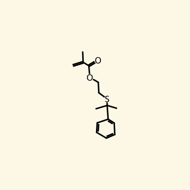 C=C(C)C(=O)OCCSC(C)(C)c1ccccc1